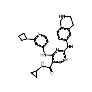 O=C(NC1CC1)c1cnc(Nc2ccc3c(c2)CCNC3)nc1Nc1ccnc(C2CCC2)c1